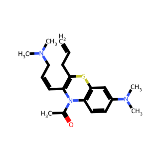 C=CCC1=C(/C=C\CN(C)C)N(C(C)=O)c2ccc(N(C)C)cc2S1